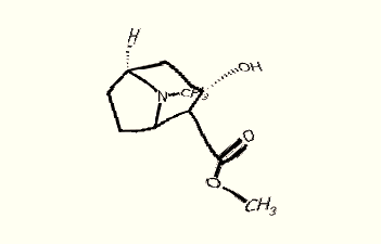 COC(=O)C1C2CC[C@@H](C[C@@H]1O)N2C